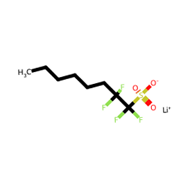 CCCCCCC(F)(F)C(F)(F)S(=O)(=O)[O-].[Li+]